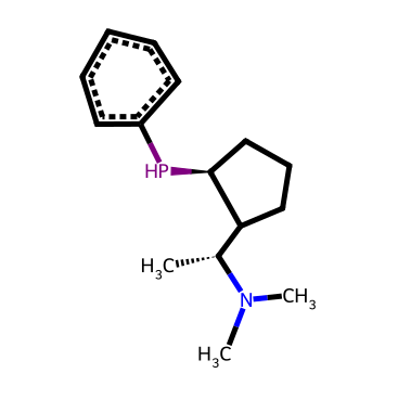 C[C@H](C1CCC[C@@H]1Pc1ccccc1)N(C)C